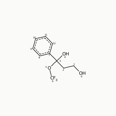 OCCC(O)(OC(F)(F)F)c1ccccc1